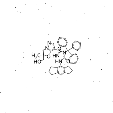 CC1(CO)Cn2ncc(S(=N)(=O)N(C(=O)Nc3c4c(cc5c3CCC5)CCC4)C(c3ccccc3)(c3ccccc3)c3ccccc3)c2O1